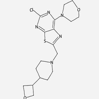 Clc1nc(N2CCOCC2)c2nc(CN3CCC(C4COC4)CC3)sc2n1